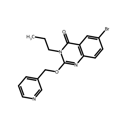 CCCn1c(OCc2cccnc2)nc2ccc(Br)cc2c1=O